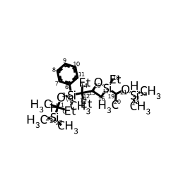 CCC(C)(O[Si@@](C)(c1ccccc1)C(CC)(CC)C1C[Si](CC)(C(C)O[SiH](C)C)O1)[SiH](C)C